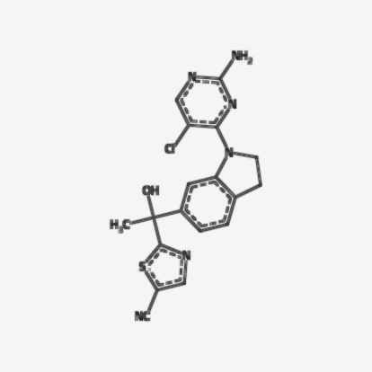 CC(O)(c1ccc2c(c1)N(c1nc(N)ncc1Cl)CC2)c1ncc(C#N)s1